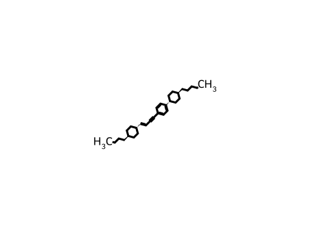 CCCCC[C@H]1CC[C@H](c2ccc(C#C/C=C/[C@H]3CC[C@H](CCCC)CC3)cc2)CC1